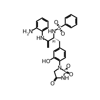 C=C(Nc1ccccc1N)[C@@H](Cc1ccc(N2CC(=O)NS2(=O)=O)c(O)c1)NS(=O)(=O)c1ccccc1